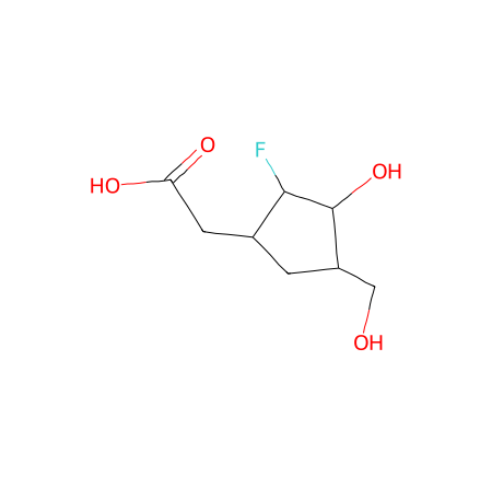 O=C(O)CC1CC(CO)C(O)C1F